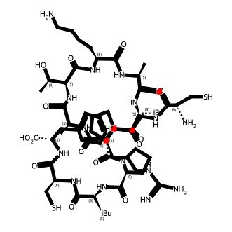 CC[C@H](C)[C@H](NC(=O)[C@@H]1CCCN1C(=O)[C@@H]1CCCN1C(=O)[C@@H](NC(=O)[C@H](C)NC(=O)[C@H](CCCCN)NC(=O)[C@@H](NC(=O)[C@H](C)NC(=O)[C@H](CCCNC(=N)N)NC(=O)CNC(=O)[C@@H](N)CS)[C@@H](C)O)[C@@H](C)CC)C(=O)N[C@@H](CS)C(=O)N[C@@H](Cc1ccccc1)C(=O)O